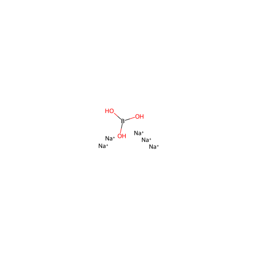 OB(O)O.[Na+].[Na+].[Na+].[Na+].[Na+]